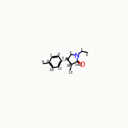 CCN1C[C@@H](c2ccc(C)cc2)[C@H](C)C1=O